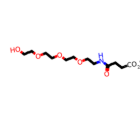 O=C(O)CCC(=O)NCCOCCOCCOCCO